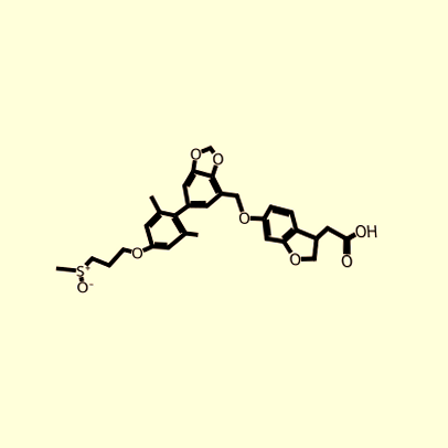 Cc1cc(OCCC[S+](C)[O-])cc(C)c1-c1cc(COc2ccc3c(c2)OCC3CC(=O)O)c2c(c1)OCO2